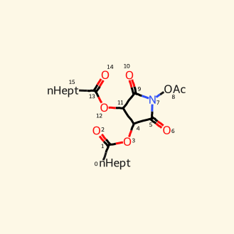 CCCCCCCC(=O)OC1C(=O)N(OC(C)=O)C(=O)C1OC(=O)CCCCCCC